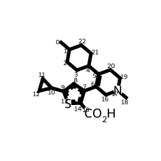 CC1CCC(C2=C(c3cc(C4CC4)sc3C(=O)O)CN(C)CC2)CC1